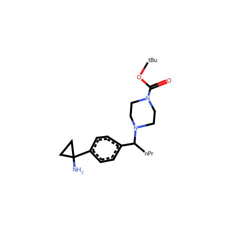 CCCC(c1ccc(C2(N)CC2)cc1)N1CCN(C(=O)OC(C)(C)C)CC1